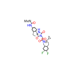 CNC(=O)Nc1ccc2c(c1)CC[C@@]21NC(=O)N(CC(=O)N2Cc3cc(F)c(F)cc3CC[C@@]2(O)C2CC2)C1=O